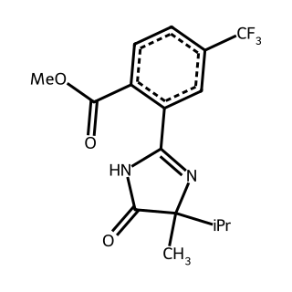 COC(=O)c1ccc(C(F)(F)F)cc1C1=NC(C)(C(C)C)C(=O)N1